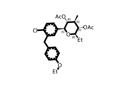 CCOc1ccc(Cc2cc([C@@H]3O[C@H](CC)[C@@H](OC(C)=O)[C@H](C)[C@H]3OC(C)=O)ccc2Cl)cc1